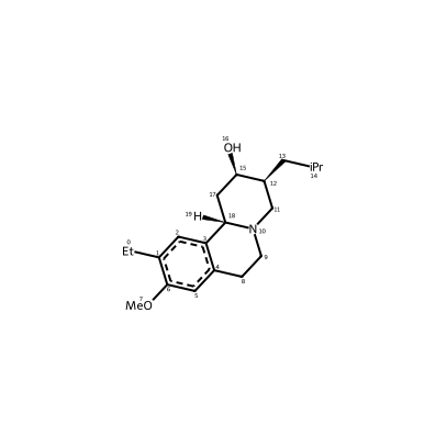 CCc1cc2c(cc1OC)CCN1C[C@H](CC(C)C)[C@H](O)C[C@@H]21